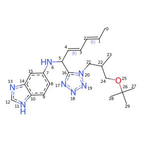 C/C=C/C=C/C(Nc1ccc2[nH]cnc2c1)c1nnnn1CC(C)COC(C)(C)C